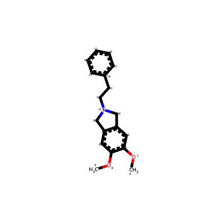 COc1cc2c(cc1OC)CN(CCc1ccccc1)C2